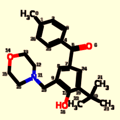 Cc1ccc(C(=O)c2cc(CN3CCOCC3)c(O)c(C(C)(C)C)c2)cc1